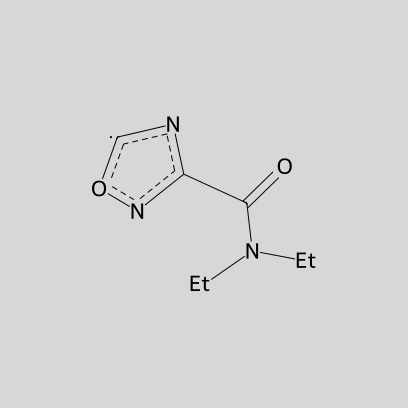 CCN(CC)C(=O)c1n[c]on1